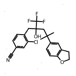 CC(C)(CC(O)(Cc1ccc(C#N)cc1Cl)C(F)(F)F)c1ccc2c(c1)CCO2